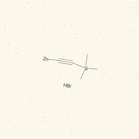 Br.C[Si](C)(C)C#[C][Zn]